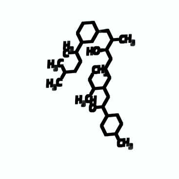 CCC(C)C(CCC[C@@H](O)C(C)C[C@@H]1CCCC(C(C)CCC(C)C)C1)CC(O)C1CCC(C)CC1